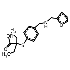 CCC(CC)(Sc1ccc(CNCc2ccco2)cc1)C(=O)O